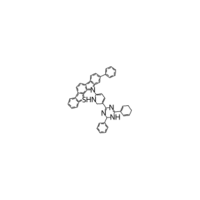 C1=CC(C2=NC(C3=CC=C(n4c5cc(-c6ccccc6)ccc5c5ccc6c7ccccc7sc6c54)NC3)=NC(c3ccccc3)N2)=CCC1